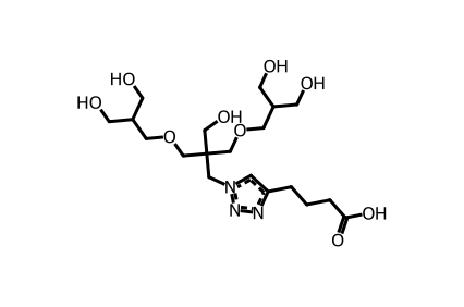 O=C(O)CCCc1cn(CC(CO)(COCC(CO)CO)COCC(CO)CO)nn1